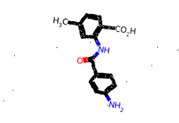 Cc1ccc(C(=O)O)c(NC(=O)c2ccc(N)cc2)c1